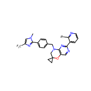 CC(C)c1ncccc1-c1ncc2c(n1)N(Cc1ccc(-c3nc(C(F)(F)F)cn3C)cc1)CC1(CC1)O2